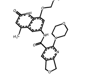 CCOc1cc(NC(=O)c2cc3c(nc2N2CCOCC2)COC3)cc2c(C)cc(=O)[nH]c12